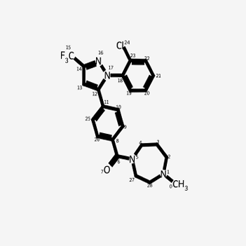 CN1CCCN(C(=O)c2ccc(-c3cc(C(F)(F)F)nn3-c3ccccc3Cl)cc2)CC1